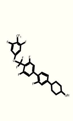 CCCC1CCC(c2ccc(-c3cc(F)c(C(F)(F)Oc4cc(F)c(C(F)(F)F)c(F)c4)c(F)c3)c(F)c2)CC1